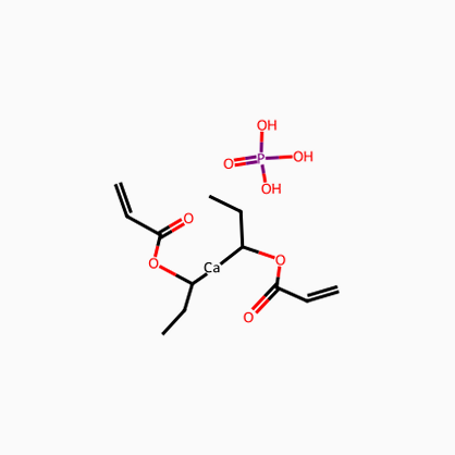 C=CC(=O)O[CH](CC)[Ca][CH](CC)OC(=O)C=C.O=P(O)(O)O